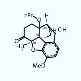 CCCOC12CCC(=O)[C@]3(C)Oc4c(OC)ccc5c4[C@]13CCN[C@@H]2C5.Cl